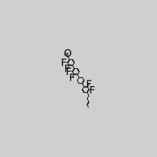 C/C=C/CCc1ccc(C2=CCC(c3ccc(-c4ccc(C5CO5)c(F)c4F)c(F)c3F)CC2)c(F)c1F